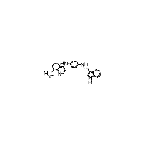 Cc1cccc2c(Nc3ccc(NCCc4c[nH]c5ccccc45)cc3)ccnc12